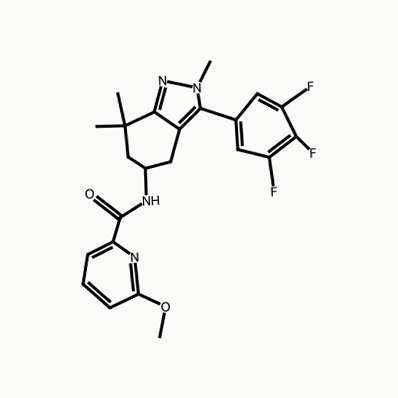 COc1cccc(C(=O)NC2Cc3c(nn(C)c3-c3cc(F)c(F)c(F)c3)C(C)(C)C2)n1